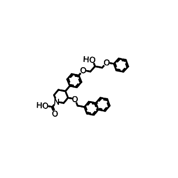 O=C(O)N1CCC(c2ccc(OCC(O)COc3ccccc3)cc2)C(OCc2ccc3ccccc3c2)C1